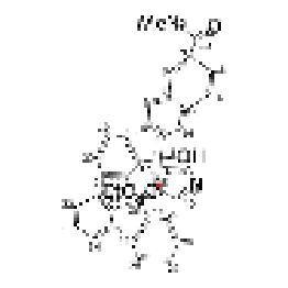 CCOC(=O)CC(O)(c1ccc2cc(C(=O)NC)ccc2c1)c1ccccc1C(c1ccccc1)(c1ccccc1)n1ccnc1